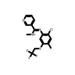 CN/C(=N\c1cc(SCC(F)(F)F)c(C)cc1Cl)c1cccnc1